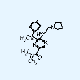 C[C@@H](c1ccc(F)cc1)c1nc(C(=O)N(C)C)cnc1NCCN1CCCC1